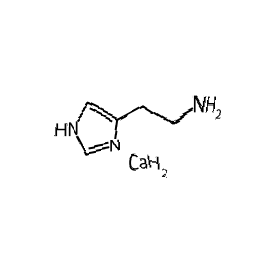 NCCc1c[nH]cn1.[CaH2]